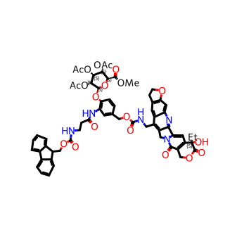 CC[C@@]1(O)C(=O)OCc2c1cc1n(c2=O)Cc2c-1nc1cc3c(cc1c2CNC(=O)OCc1ccc(O[C@@H]2O[C@H](C(=O)OC)[C@@H](OC(C)=O)[C@H](OC(C)=O)[C@H]2OC(C)=O)c(NC(=O)CCNC(=O)OCC2c4ccccc4-c4ccccc42)c1)CCO3